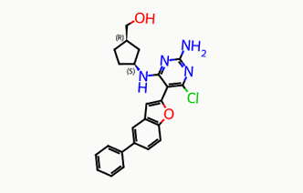 Nc1nc(Cl)c(-c2cc3cc(-c4ccccc4)ccc3o2)c(N[C@H]2CC[C@@H](CO)C2)n1